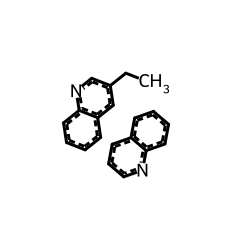 CCc1cnc2ccccc2c1.c1ccc2ncccc2c1